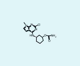 Cn1ccc2c(N[C@@H]3CCC[C@H](OC(N)=O)C3)nc(Cl)nc21